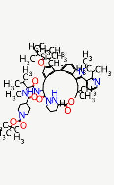 CCn1c(-c2cccnc2C(C)C)c2c3cc(ccc31)-c1cc(cc(O[Si](C(C)C)(C(C)C)C(C)C)c1)C[C@H](NC(=O)[C@H](C(C)C)N(C)C(=O)C1CCN(C(=O)OC(C)(C)C)CC1)C(=O)N1CCC[C@H](N1)C(=O)OCC(C)(C)C2